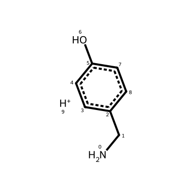 NCc1ccc(O)cc1.[H+]